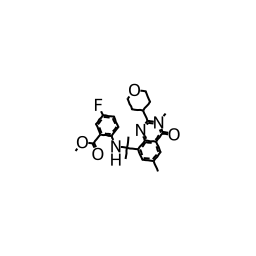 COC(=O)c1cc(F)ccc1NC(C)(C)c1cc(C)cc2c(=O)n(C)c(C3CCOCC3)nc12